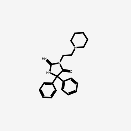 N=C1NC(c2ccccc2)(c2ccccc2)C(=O)N1CCN1CCCCC1